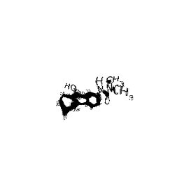 CN(C)C(=O)Nc1ccc2c(c1)C(O)c1ccccc1-2